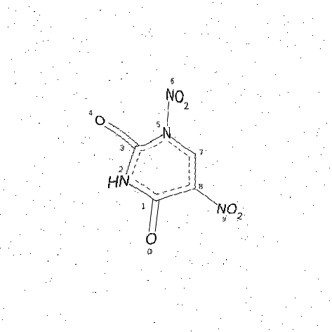 O=c1[nH]c(=O)n([N+](=O)[O-])cc1[N+](=O)[O-]